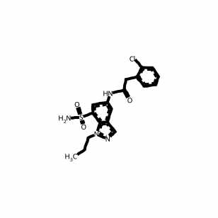 CCCn1ncc2cc(NC(=O)Cc3ccccc3Cl)cc(S(N)(=O)=O)c21